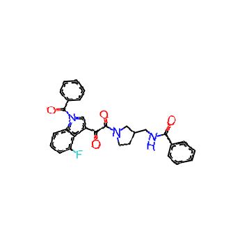 O=C(NCC1CCN(C(=O)C(=O)c2cn(C(=O)c3ccccc3)c3cccc(F)c23)C1)c1ccccc1